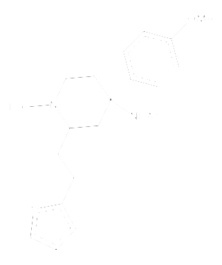 COc1ccc(C2(NC(C)=O)CCN(C)C(CCc3cccs3)C2)cc1